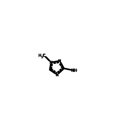 Cn1cnc([NH])n1